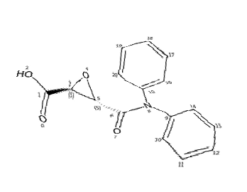 O=C(O)[C@H]1O[C@@H]1C(=O)N(c1ccccc1)c1ccccc1